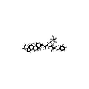 CC(=O)[C@H]1CCC2C3CC[C@@H]4C[C@H](OC(=O)[C@H](CCC(=O)OCc5ccccc5)NC(=O)OC(C)(C)C)CC[C@]4(C)C3CC[C@@]21C